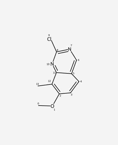 COc1ccc2cnc(Cl)nc2c1C